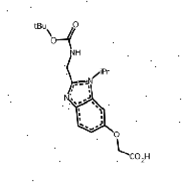 CC(C)n1c(CNC(=O)OC(C)(C)C)nc2ccc(OCC(=O)O)cc21